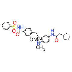 COc1cc(C(=O)NS(=O)(=O)c2ccccc2)ccc1Cc1cn(C)c2ccc(NC(=O)CC3CCCC3)cc12